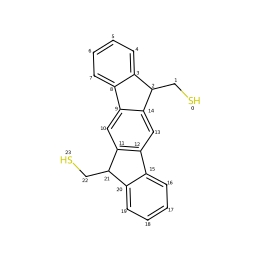 SCC1c2ccccc2-c2cc3c(cc21)-c1ccccc1C3CS